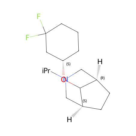 CC(C)N1C[C@H]2CC[C@@H](C1)C2O[C@H]1CCCC(F)(F)C1